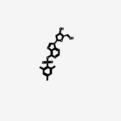 Cc1cc(C)c(S(=O)(=O)Oc2ncnc3c2ncn3[C@H]2CC(O)[C@@H](CO)O2)c(C)c1